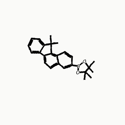 CC1(C)c2ccccc2-c2ccc3cc(B4OC(C)(C)C(C)(C)O4)ccc3c21